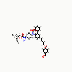 CC(C)(C)OC(=O)N[C@H]1CC[C@H](N(C(=O)O)c2ccc(C=CCCOc3ccc(C=O)cc3)cc2-c2ccccc2)CC1